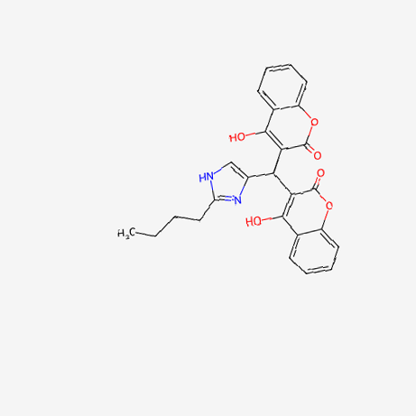 CCCCc1nc(C(c2c(O)c3ccccc3oc2=O)c2c(O)c3ccccc3oc2=O)c[nH]1